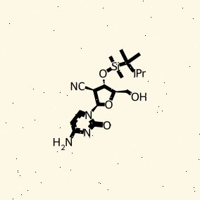 CC(C)C(C)(C)[Si](C)(C)O[C@H]1[C@H](C#N)[C@H](n2ccc(N)nc2=O)O[C@@H]1CO